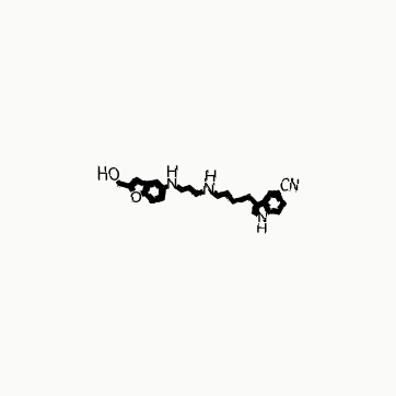 N#Cc1ccc2[nH]cc(CCCCNCCCNc3ccc4oc(CO)cc4c3)c2c1